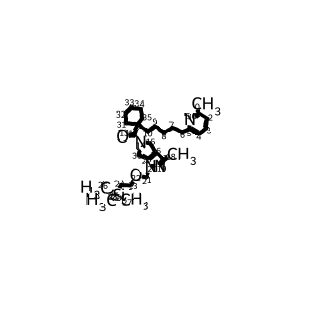 Cc1cccc(CCCCCC2(C(=O)N3Cc4c(C)nn(COCC[Si](C)(C)C)c4C3)CCCCC2)n1